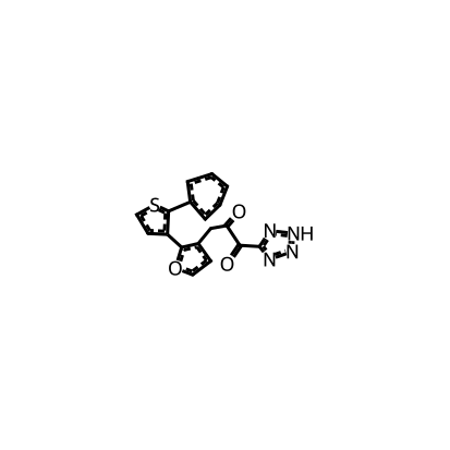 O=C(Cc1ccoc1-c1ccsc1-c1ccccc1)C(=O)c1nn[nH]n1